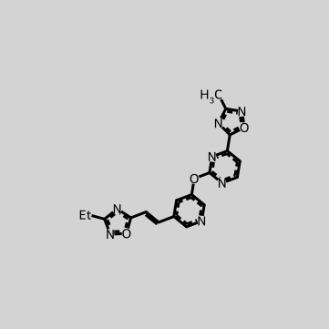 CCc1noc(/C=C/c2cncc(Oc3nccc(-c4nc(C)no4)n3)c2)n1